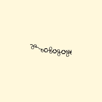 C=CC(=O)OCCCCOc1ccc(C(=O)Oc2ccc(OC(=O)c3ccc(NC(=O)C(=C)C)cc3)cc2)cc1